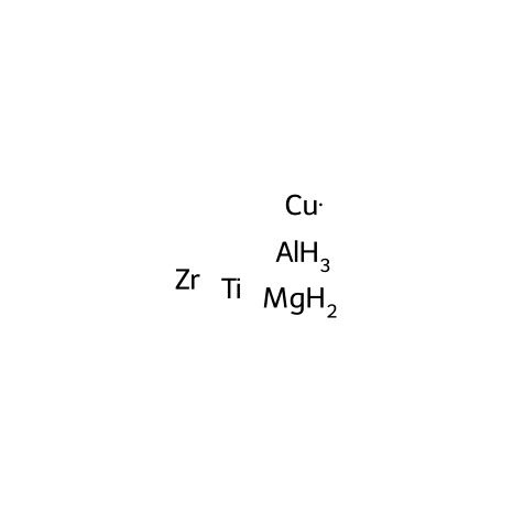 [AlH3].[Cu].[MgH2].[Ti].[Zr]